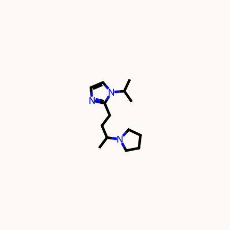 CC(CCc1nccn1C(C)C)N1CCCC1